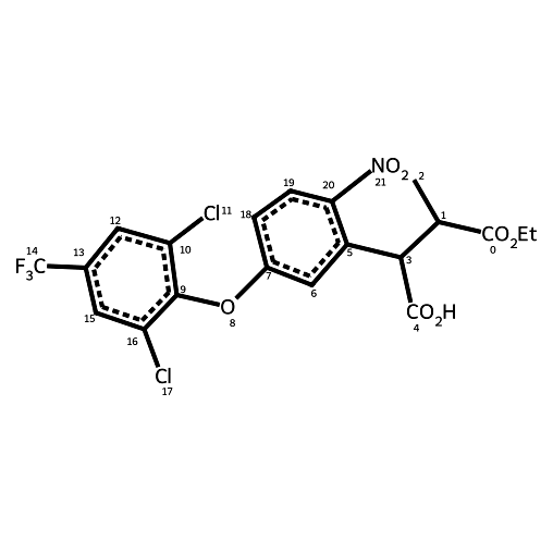 CCOC(=O)C(C)C(C(=O)O)c1cc(Oc2c(Cl)cc(C(F)(F)F)cc2Cl)ccc1[N+](=O)[O-]